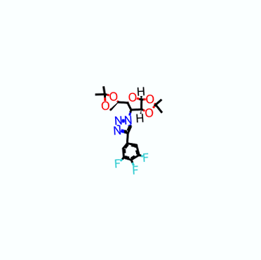 CC1(C)OC[C@H]([C@@H]2O[C@@H]3OC(C)(C)O[C@H]3C2n2cc(-c3cc(F)c(F)c(F)c3)nn2)O1